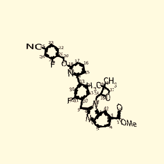 COC(=O)c1ccc2nc(Cc3ccc(-c4cccc(OCc5ccc(C#N)cc5F)n4)cc3F)n(CC3OCC3(C)C)c2c1